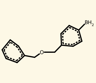 Bc1ccc(COCc2ccccc2)cc1